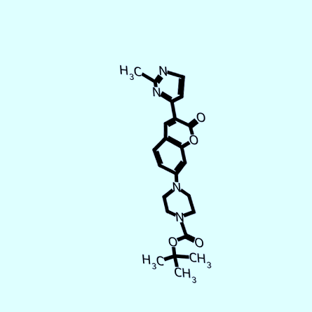 Cc1nccc(-c2cc3ccc(N4CCN(C(=O)OC(C)(C)C)CC4)cc3oc2=O)n1